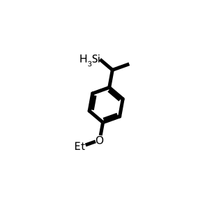 CCOc1ccc(C(C)[SiH3])cc1